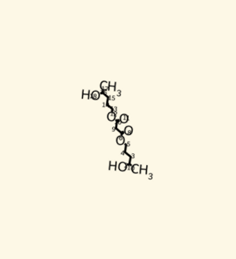 CC(O)CCCOC(=O)CC(=O)OCCCC(C)O